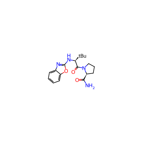 CC(C)(C)[C@H](Nc1nc2ccccc2o1)C(=O)N1CCC[C@H]1C(N)=O